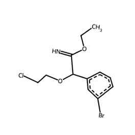 CCOC(=N)C(OCCCl)c1cccc(Br)c1